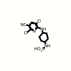 N#Cc1cc(Cl)c(NC2CCC(NC(=O)O)CC2)nc1Cl